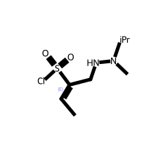 C/C=C(\CNN(C)C(C)C)S(=O)(=O)Cl